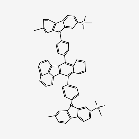 Cc1ccc2c3ccc([Si](C)(C)C)cc3n(-c3ccc(-c4c5c(c(-c6ccc(-n7c8cc(C)ccc8c8ccc([Si](C)(C)C)cc87)cc6)c6ccccc46)-c4cccc6cccc-5c46)cc3)c2c1